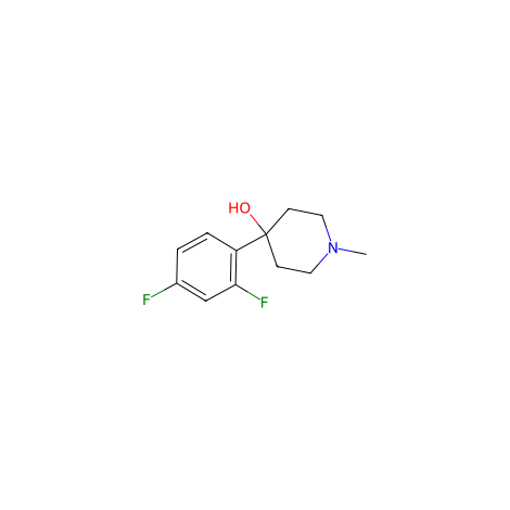 CN1CCC(O)(c2ccc(F)cc2F)CC1